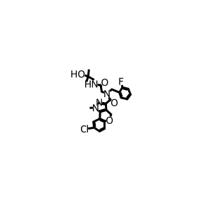 Cn1nc(C(=O)N(CC(=O)NCC(C)(C)O)Cc2ccccc2F)c2c1-c1cc(Cl)ccc1OC2